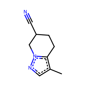 Cc1cnn2c1CCC(C#N)C2